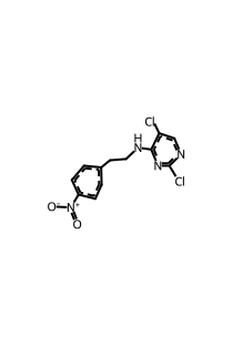 O=[N+]([O-])c1ccc(CCNc2nc(Cl)ncc2Cl)cc1